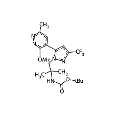 COc1nnc(C)cc1-c1cc(C(F)(F)F)nn1CC(C)(C)NC(=O)OC(C)(C)C